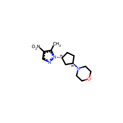 Cc1c([N+](=O)[O-])cnn1[C@@H]1CC[C@@H](N2CCOCC2)C1